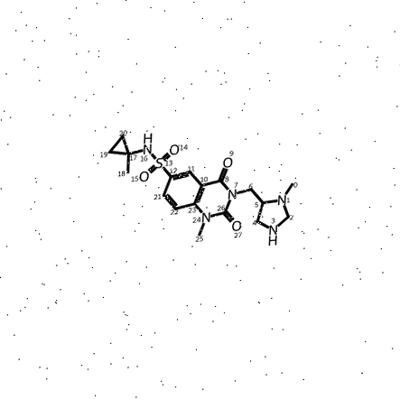 CN1CNCC1Cn1c(=O)c2cc(S(=O)(=O)NC3(C)CC3)ccc2n(C)c1=O